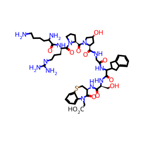 NCCCCC(N)C(=O)N[C@H](CCCN=C(N)N)C(=O)N1CCC[C@H]1C(=O)N1CC(O)C[C@H]1C(=O)NCC(=O)NC(C(=O)N[C@@H](CO)C(=O)N[C@@H]1CSc2ccccc2N(CC(=O)O)C1=O)C1Cc2ccccc2C1